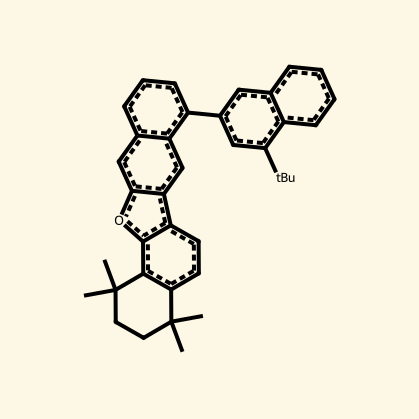 CC(C)(C)c1cc(-c2cccc3cc4oc5c6c(ccc5c4cc23)C(C)(C)CCC6(C)C)cc2ccccc12